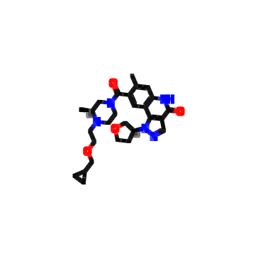 Cc1cc2[nH]c(=O)c3cnn([C@H]4CCOC4)c3c2cc1C(=O)N1CCN(CCOCC2CC2)[C@@H](C)C1